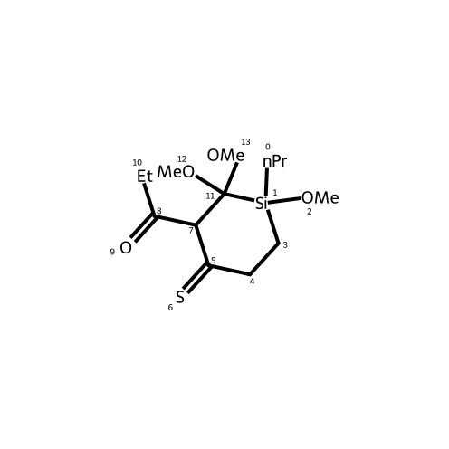 CCC[Si]1(OC)CCC(=S)C(C(=O)CC)C1(OC)OC